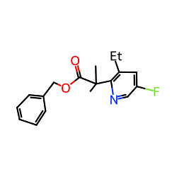 CCc1cc(F)cnc1C(C)(C)C(=O)OCc1ccccc1